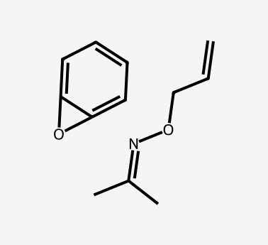 C=CCON=C(C)C.c1ccc2c(c1)O2